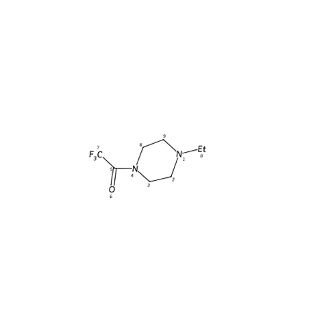 [CH2]CN1CCN(C(=O)C(F)(F)F)CC1